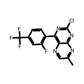 Cc1cnc2c(-c3ccc(C(F)(F)F)cc3F)nc(Cl)nc2n1